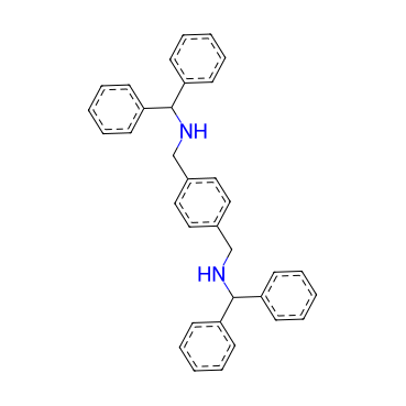 c1ccc(C(NCc2ccc(CNC(c3ccccc3)c3ccccc3)cc2)c2ccccc2)cc1